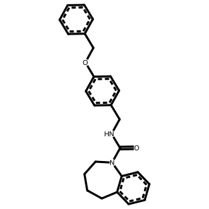 O=C(NCc1ccc(OCc2ccccc2)cc1)N1CCCCc2ccccc21